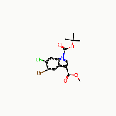 COC(=O)c1cn(C(=O)OC(C)(C)C)c2cc(Cl)c(Br)cc12